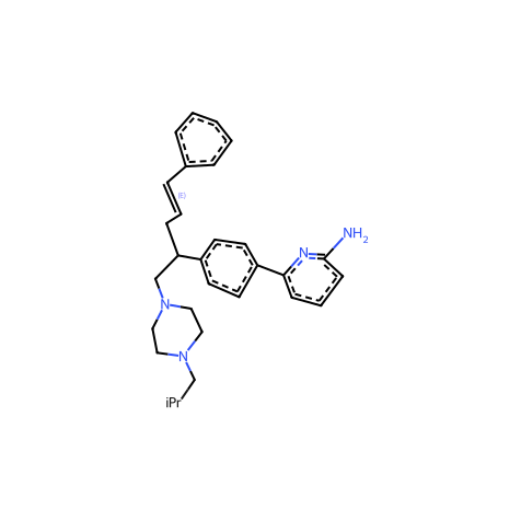 CC(C)CN1CCN(CC(C/C=C/c2ccccc2)c2ccc(-c3cccc(N)n3)cc2)CC1